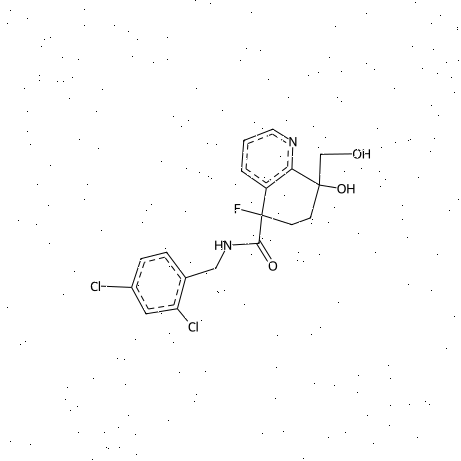 O=C(NCc1ccc(Cl)cc1Cl)C1(F)CCC(O)(CO)c2ncccc21